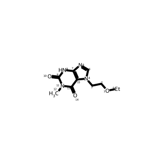 CCOCCn1cnc2[nH]c(=O)n(C)c(=O)c21